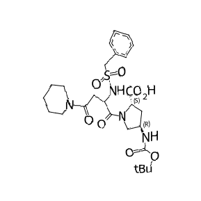 CC(C)(C)OC(=O)N[C@@H]1C[C@@H](C(=O)O)N(C(=O)C(CC(=O)N2CCCCC2)NS(=O)(=O)Cc2ccccc2)C1